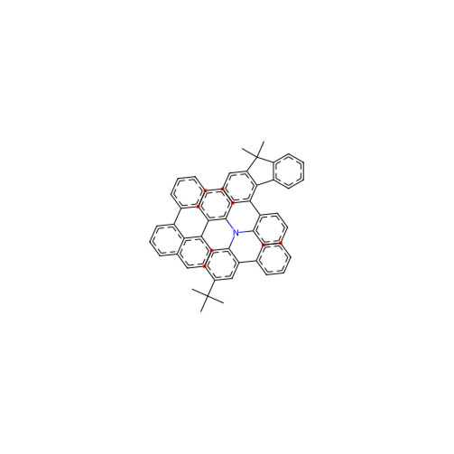 CC(C)(C)c1ccc(N(c2ccccc2-c2cccc3c2-c2ccccc2C3(C)C)c2ccccc2-c2cccc3cccc(-c4ccccc4)c23)c(-c2ccccc2)c1